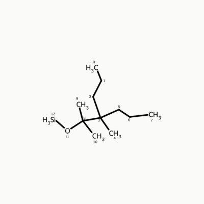 CCCC(C)(CCC)C(C)(C)O[SiH3]